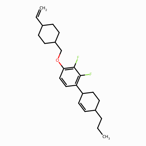 C=CC1CCC(COc2ccc(C3C=CC(CCC)CC3)c(F)c2F)CC1